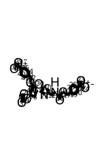 CS(=O)(=O)O[C@@H]1C[C@@H](c2csc(CNC(=O)OCc3ccc([N+](=O)[O-])cc3)n2)N(C(=O)OCc2ccc([N+](=O)[O-])cc2)C1